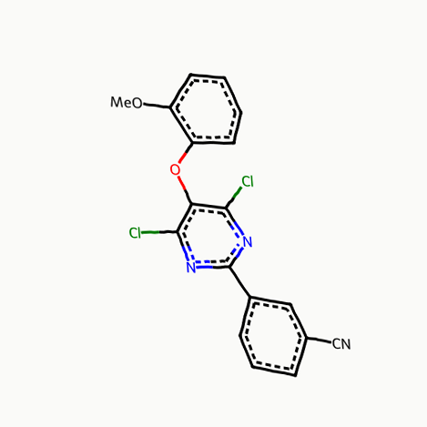 COc1ccccc1Oc1c(Cl)nc(-c2cccc(C#N)c2)nc1Cl